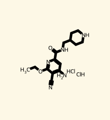 CCOc1nc(C(=O)NCC2CCNCC2)cc(N)c1C#N.Cl.Cl